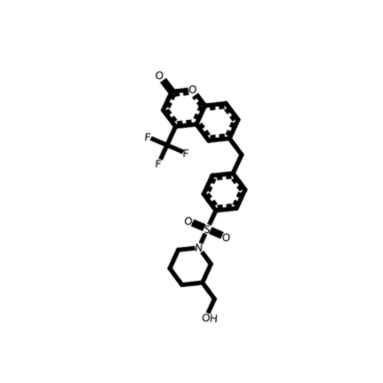 O=c1cc(C(F)(F)F)c2cc(Cc3ccc(S(=O)(=O)N4CCCC(CO)C4)cc3)ccc2o1